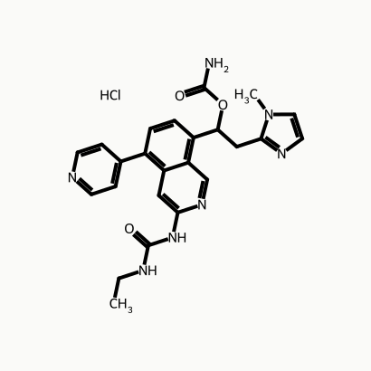 CCNC(=O)Nc1cc2c(-c3ccncc3)ccc(C(Cc3nccn3C)OC(N)=O)c2cn1.Cl